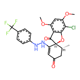 COc1cc(OC)c2c(c1Cl)O[C@]1(C2=O)C(NNc2ccc(C(F)(F)F)cc2)=CC(=O)C[C@H]1C